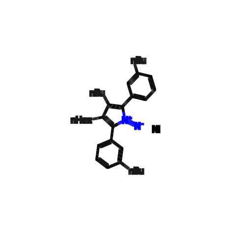 CCCCCCC1=C(c2cccc(CCCC)c2)[N+](=[N-])C(c2cccc(CCCC)c2)=C1CCCC.[Ni]